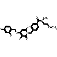 COCCN(C)C(=O)c1ccc(Cn2c(C)cc(OCc3ccc(F)cc3F)c(Br)c2=O)cc1